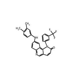 Cc1ccc(Nc2ccc3ncc4ccc(=O)n(-c5cccc(C(F)(F)F)c5)c4c3c2)cc1C